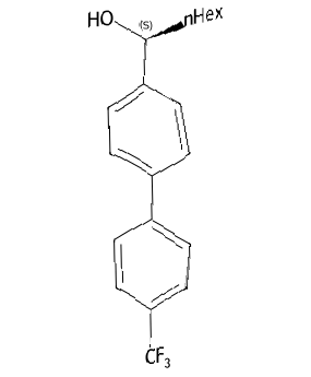 CCCCCC[C@H](O)c1ccc(-c2ccc(C(F)(F)F)cc2)cc1